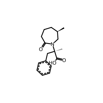 C[C@@H]1CCCC(=O)N([C@](C)(Cc2ccccc2)C(=O)O)C1